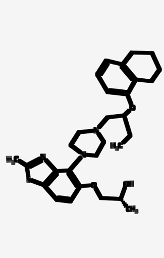 CCC(CN1CCN(c2c(OC[C@@H](C)O)ccc3sc(C)nc23)CC1)Oc1cccc2c1CCCC2